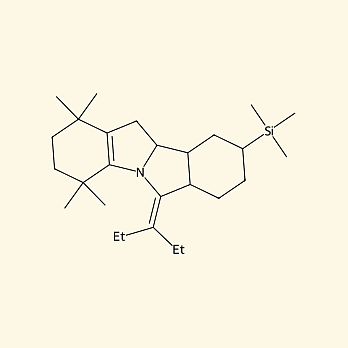 CCC(CC)=C1C2CCC([Si](C)(C)C)CC2C2CC3=C(N12)C(C)(C)CCC3(C)C